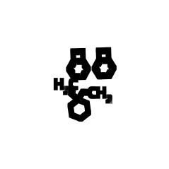 C1=Cc2ccccc21.C1=Cc2ccccc21.C=CC1(C=C)CCCCC1